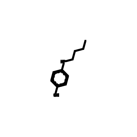 CCCCPc1ccc(O)cc1